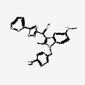 COc1ccc2c(c1)c(C(=O)c1noc(-c3cccnn3)n1)c(C)n2Cc1ccc(Cl)cc1